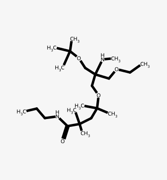 CCCNC(=O)C(C)(C)CC(C)(C)OCC(COCC)(COC(C)(C)C)NC